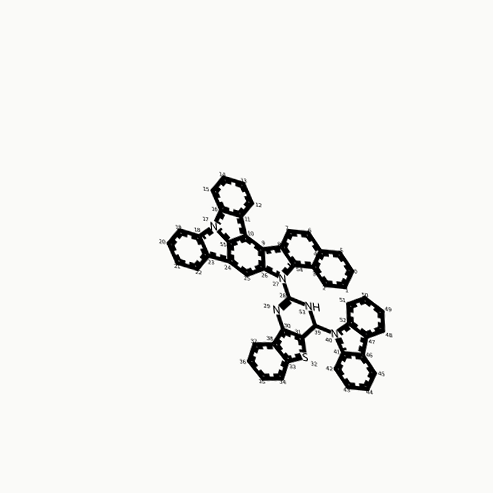 c1ccc2c(c1)ccc1c3c4c5ccccc5n5c6ccccc6c(cc3n(C3=Nc6c(sc7ccccc67)C(n6c7ccccc7c7ccccc76)N3)c21)c45